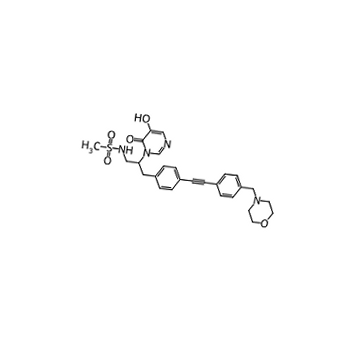 CS(=O)(=O)NCC(Cc1ccc(C#Cc2ccc(CN3CCOCC3)cc2)cc1)n1cncc(O)c1=O